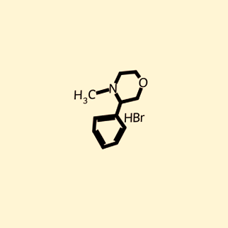 Br.CN1CCOCC1c1ccccc1